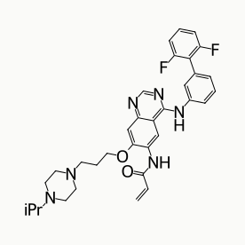 C=CC(=O)Nc1cc2c(Nc3cccc(-c4c(F)cccc4F)c3)ncnc2cc1OCCCN1CCN(C(C)C)CC1